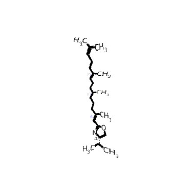 CC(C)=CCC/C(C)=C/CC/C(C)=C/CC/C(C)=C/C1=N[C@@H](C(C)C)CO1